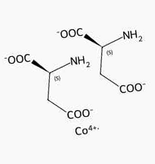 N[C@@H](CC(=O)[O-])C(=O)[O-].N[C@@H](CC(=O)[O-])C(=O)[O-].[Co+4]